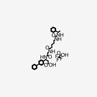 CC(NC(=O)NCCCCC(=O)NCC(=O)NC(CC(=O)O)c1ccc(-c2ccccc2)cc1)c1ccccc1.O=C(O)C(F)(F)F